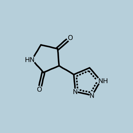 O=C1CNC(=O)C1c1c[nH]nn1